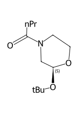 CCCC(=O)N1CCO[C@@H](OC(C)(C)C)C1